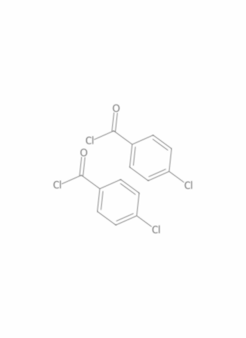 O=C(Cl)c1ccc(Cl)cc1.O=C(Cl)c1ccc(Cl)cc1